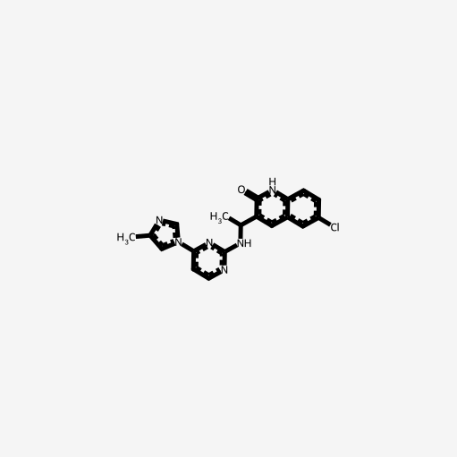 Cc1cn(-c2ccnc(NC(C)c3cc4cc(Cl)ccc4[nH]c3=O)n2)cn1